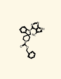 N#Cc1c[nH]c2ncnc(N3CC4(CCN(C(=O)OCc5ccccc5)CC4)c4ccccc43)c12